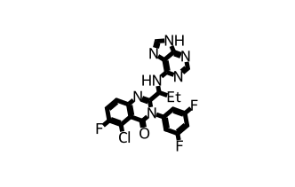 CCC(Nc1ncnc2[nH]cnc12)c1nc2ccc(F)c(Cl)c2c(=O)n1-c1cc(F)cc(F)c1